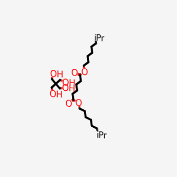 CC(C)CCCCCCOC(=O)CCCCC(=O)OCCCCCCC(C)C.OCC(CO)(CO)CO